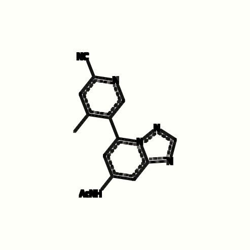 CC(=O)Nc1cc(-c2cnc(C#N)cc2C)n2ncnc2c1